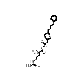 N=C(N)NCCC[C@H](N)C(=O)ONC(=O)Cc1ccc(CCCCc2ccccc2)cc1